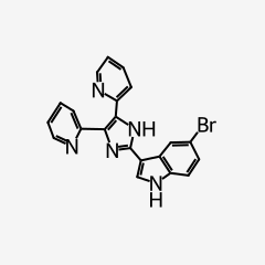 Brc1ccc2[nH]cc(-c3nc(-c4ccccn4)c(-c4ccccn4)[nH]3)c2c1